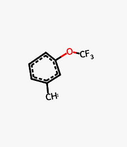 [CH]c1cccc(OC(F)(F)F)c1